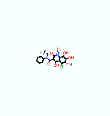 CCN(C(=O)c1c(O)c2c(Cl)c(O)c(O)c(O)c2n(C)c1=O)c1ccccc1